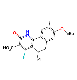 CCCCOc1cc2c(cc1C)-c1[nH]c(=O)c(C(=O)O)c(F)c1C(C(C)C)C2